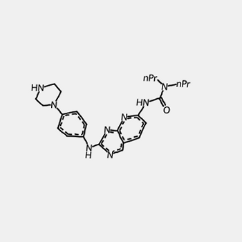 CCCN(CCC)C(=O)Nc1ccc2cnc(Nc3ccc(N4CCNCC4)cc3)nc2n1